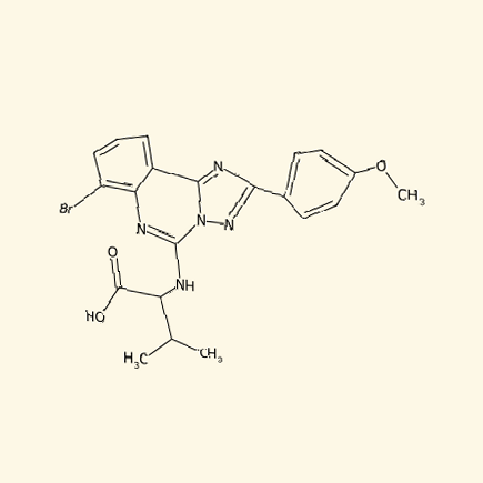 COc1ccc(-c2nc3c4cccc(Br)c4nc(NC(C(=O)O)C(C)C)n3n2)cc1